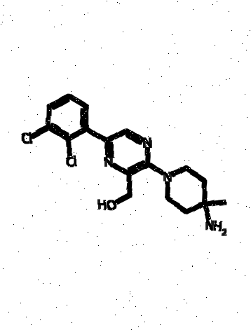 CC1(N)CCN(c2ncc(-c3cccc(Cl)c3Cl)nc2CO)CC1